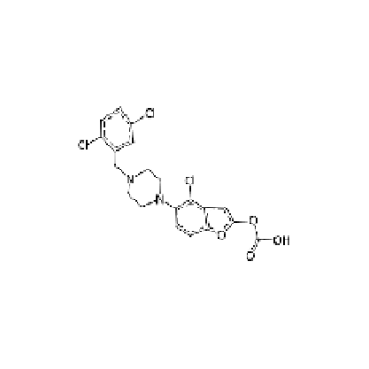 O=C(O)Oc1cc2c(Cl)c(N3CCN(Cc4cc(Cl)ccc4Cl)CC3)ccc2o1